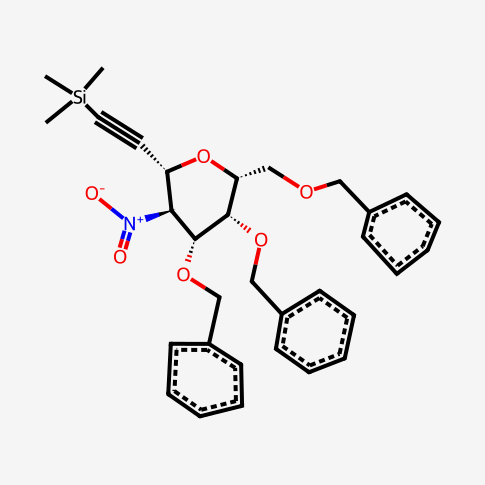 C[Si](C)(C)C#C[C@@H]1O[C@H](COCc2ccccc2)[C@H](OCc2ccccc2)[C@H](OCc2ccccc2)[C@H]1[N+](=O)[O-]